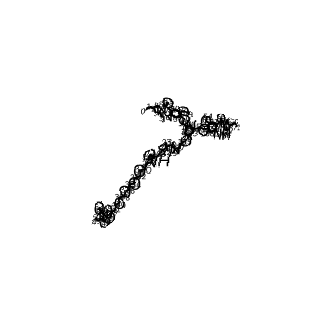 C/C=C1\CC2C=Nc3cc(OCc4cc(OCCN(C)CC(C)(C)SCC(=O)NCCOCCOCCOCCOCCC(=O)ON5C(=O)CCC5=O)cc(COc5cc6c(cc5OC)C(=O)N5C/C(=C/C)C[C@H]5C=N6)n4)c(OC)cc3C(=O)N2C1